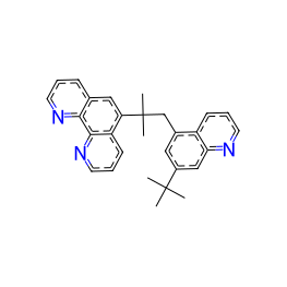 CC(C)(C)c1cc(CC(C)(C)c2cc3cccnc3c3ncccc23)c2cccnc2c1